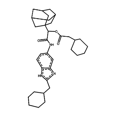 O=C(CC1CCCCC1)OC(C(=O)Nc1ccc2[nH]c(CC3CCCCC3)nc2c1)C12CC3CC(CC(C3)C1)C2